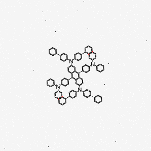 c1ccc(-c2ccc(N(c3ccc(-c4ccccc4)cc3)c3ccc4c(-c5ccc(N(c6ccccc6)c6ccccc6)cc5)c5cc(N(c6ccc(-c7ccccc7)cc6)c6ccc(-c7ccccc7)cc6)ccc5c(-c5ccc(N(c6ccccc6)c6ccccc6)cc5)c4c3)cc2)cc1